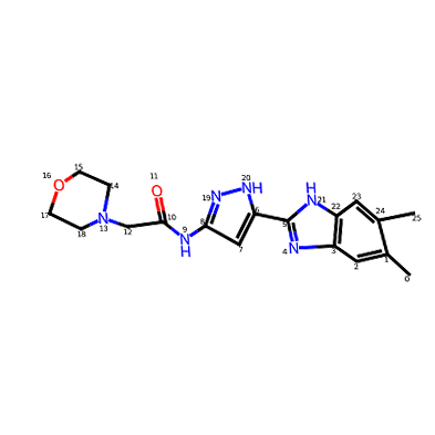 Cc1cc2nc(-c3cc(NC(=O)CN4CCOCC4)n[nH]3)[nH]c2cc1C